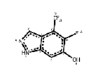 Oc1cc2[nH]ncc2c(C(F)(F)F)c1F